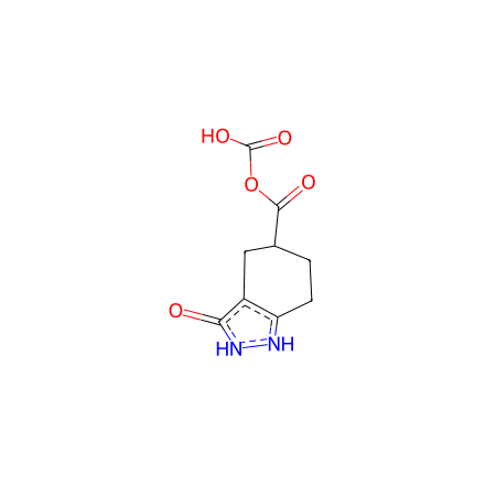 O=C(O)OC(=O)C1CCc2[nH][nH]c(=O)c2C1